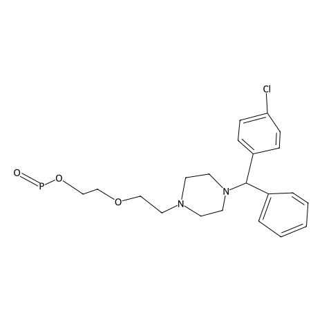 O=POCCOCCN1CCN(C(c2ccccc2)c2ccc(Cl)cc2)CC1